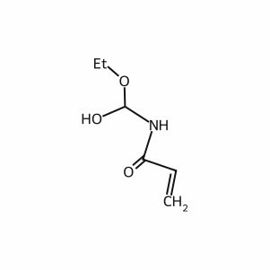 C=CC(=O)NC(O)OCC